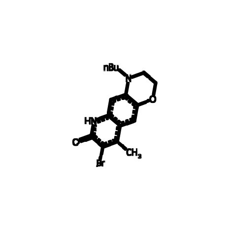 CCCCN1CCOc2cc3c(C)c(Br)c(=O)[nH]c3cc21